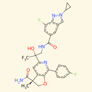 C[C@]1(C(N)=O)COc2c1cc(C(O)(CNC(=O)c1cc(F)c3nn(C4CC4)cc3c1)C(F)(F)F)nc2-c1ccc(F)cc1